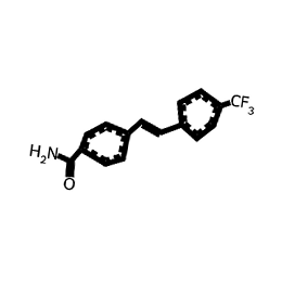 NC(=O)c1ccc(C=Cc2ccc(C(F)(F)F)cc2)cc1